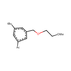 COCCOCc1cc(C(C)=O)cc(C(C)(C)C)c1